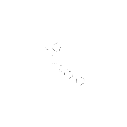 Cc1ccccc1-c1cnc(NC(=O)[C@]2(O)CC[C@@]3(CC2)OC(=O)c2cnccc23)nc1